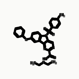 CCOCC.Cc1ccc(S(=O)(=O)n2c3ccc(Oc4ccccc4)cc3c3nc(C(=O)O)ncc32)cc1